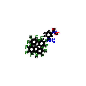 Fc1c(F)c(F)c([B-](c2c(F)c(F)c(F)c(F)c2F)(c2c(F)c(F)c(F)c(F)c2F)c2c(F)c(F)c(F)c(F)c2F)c(F)c1F.[NH3+]c1cccc([N+](=O)[O-])c1